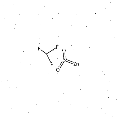 FC(F)F.O=[S](=O)=[Zn]